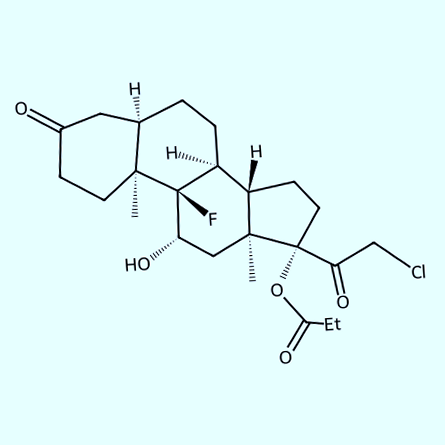 CCC(=O)O[C@@]1(C(=O)CCl)CC[C@H]2[C@@H]3CC[C@@H]4CC(=O)CC[C@]4(C)[C@@]3(F)[C@@H](O)C[C@@]21C